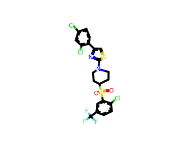 O=S(=O)(c1cc(C(F)(F)F)ccc1Cl)C1CCN(c2nc(-c3ccc(Cl)cc3Cl)cs2)CC1